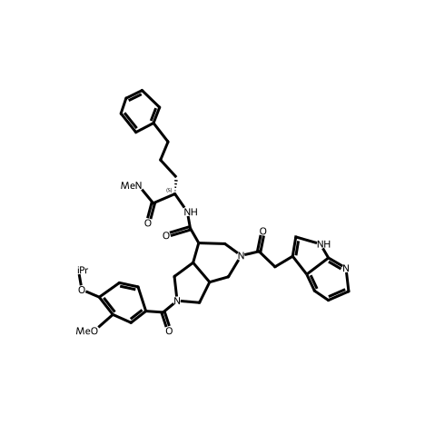 CNC(=O)[C@H](CCCc1ccccc1)NC(=O)C1CN(C(=O)Cc2c[nH]c3ncccc23)CC2CN(C(=O)c3ccc(OC(C)C)c(OC)c3)CC21